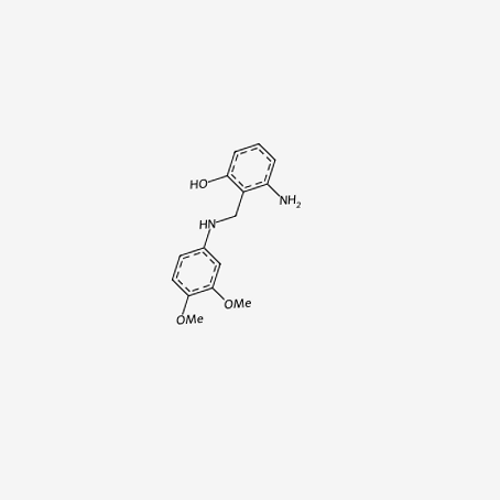 COc1ccc(NCc2c(N)cccc2O)cc1OC